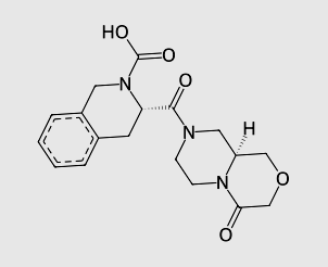 O=C([C@@H]1Cc2ccccc2CN1C(=O)O)N1CCN2C(=O)COC[C@@H]2C1